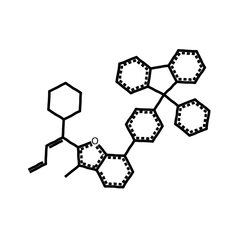 C=C/C=C(\c1oc2c(-c3ccc(C4(c5ccccc5)c5ccccc5-c5ccccc54)cc3)cccc2c1C)C1CCCCC1